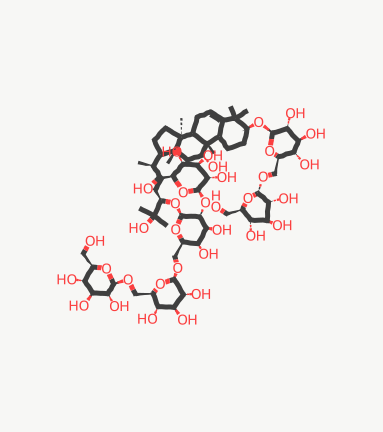 C[C@H](CC[C@@H](O[C@@H]1O[C@H](CO[C@@H]2O[C@H](CO[C@@H]3O[C@H](CO)[C@@H](O)[C@H](O)[C@H]3O)[C@@H](O)[C@H](O)[C@H]2O)[C@@H](O)[C@H](O)[C@H]1O[C@H]1O[C@@H](CO)[C@H](O)[C@@H](O)[C@@H]1O)C(C)(C)O)C1CC[C@@]2(C)C3CC=C4C(CC[C@H](O[C@@H]5O[C@H](CO[C@H]6O[C@H](CO)[C@@H](O)[C@H](O)[C@H]6O)[C@@H](O)[C@H](O)[C@H]5O)C4(C)C)[C@]3(C)[C@H](O)C[C@]12C